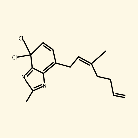 C=CCCC(C)=CCC1=C2N=C(C)N=C2C(Cl)(Cl)C=C1